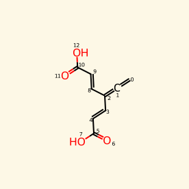 C=C=C(C=CC(=O)O)C=CC(=O)O